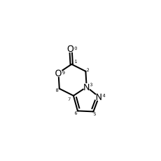 O=C1Cn2nccc2CO1